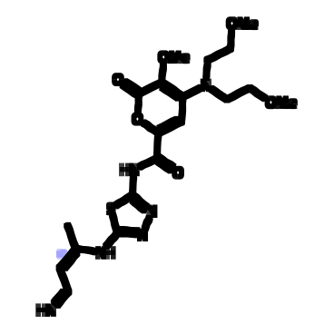 COCCN(CCOC)c1cc(C(=O)Nc2nnc(N/C(C)=C\C=N)s2)oc(=O)c1OC